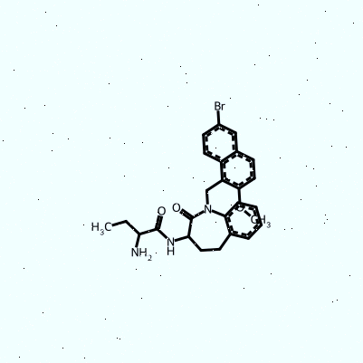 CCC(N)C(=O)NC1CCc2ccccc2N(Cc2c(OC)ccc3cc(Br)ccc23)C1=O